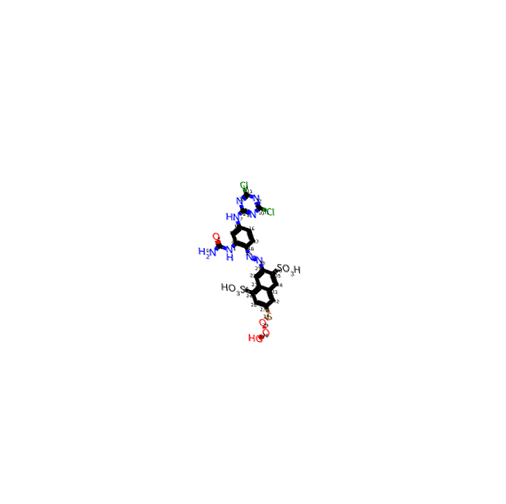 NC(=O)Nc1cc(Nc2nc(Cl)nc(Cl)n2)ccc1/N=N/c1cc2c(S(=O)(=O)O)cc(SOOO)cc2cc1S(=O)(=O)O